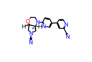 N#Cc1cc(-c2ccc(N3CCO[C@H]4CN(C#N)C[C@H]43)nc2)ccn1